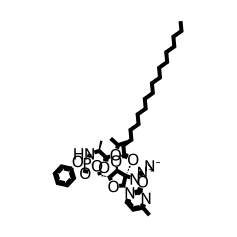 CCCCCCCCCCCCCCCCCC(=O)O[C@@H]1[C@@H](COP(=O)(N[C@@H](C)C(=O)OC(C)C)Oc2ccccc2)O[C@@H](n2ccc(C)nc2=O)[C@]1(C)N=[N+]=[N-]